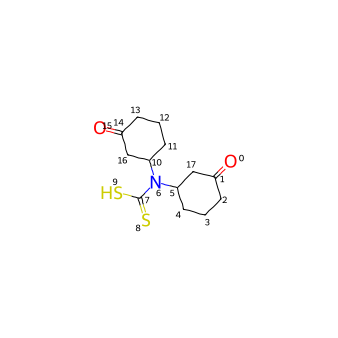 O=C1CCCC(N(C(=S)S)C2CCCC(=O)C2)C1